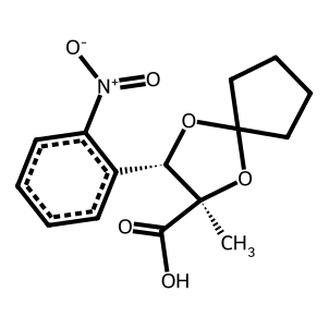 C[C@@]1(C(=O)O)OC2(CCCC2)O[C@H]1c1ccccc1[N+](=O)[O-]